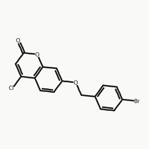 O=c1cc(Cl)c2ccc(OCc3ccc(Br)cc3)cc2o1